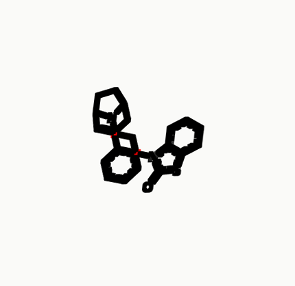 O=c1sc2ccccc2n1CCCN1C2C=C(c3ccccc3)CC1CC2